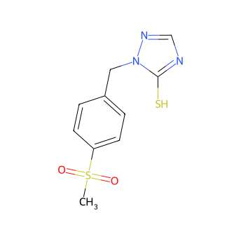 CS(=O)(=O)c1ccc(Cn2ncnc2S)cc1